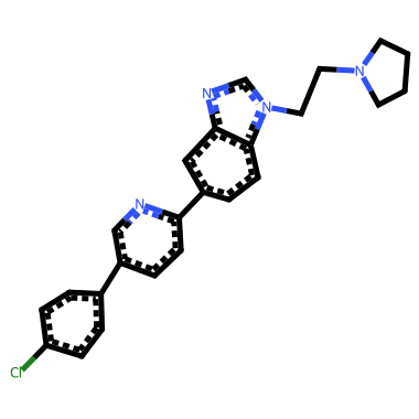 Clc1ccc(-c2ccc(-c3ccc4c(c3)ncn4CCN3CCCC3)nc2)cc1